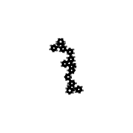 CC1(C)c2ccc(-c3cccc(-c4ccc5c(c4)C4(C)CCCCC4(C)N5c4ccccc4)n3)cc2-c2c1c1ccc(-c3cccc(-c4ccc5c(c4)C4(C)CCCCC4(C)N5c4ccccc4)n3)cc1c1ccccc21